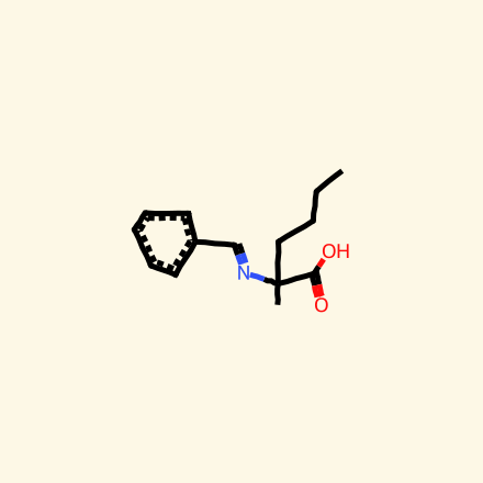 CCCCC(C)(N=Cc1ccccc1)C(=O)O